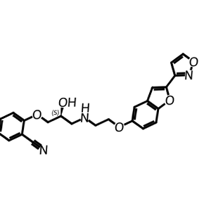 N#Cc1ccccc1OC[C@@H](O)CNCCOc1ccc2oc(-c3ccon3)cc2c1